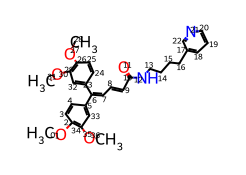 COc1ccc(C(=C/C=C/C(=O)NCCCCc2cccnc2)c2ccc(OC)c(OC)c2)cc1OC